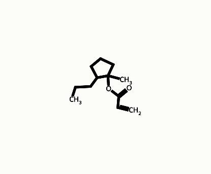 C=CC(=O)OC1(C)CCCC1CCC